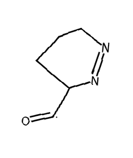 O=[C]C1CCCN=N1